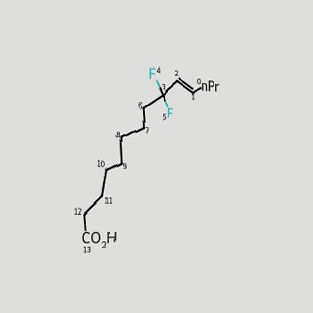 CCCC=CC(F)(F)CCCCCCCC(=O)O